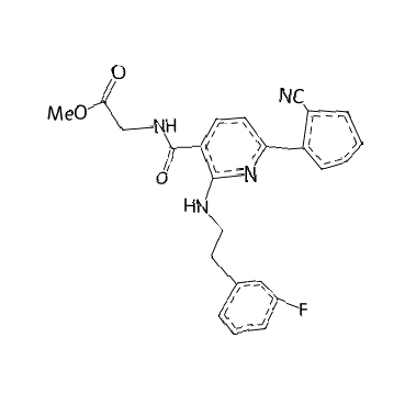 COC(=O)CNC(=O)c1ccc(-c2ccccc2C#N)nc1NCCc1cccc(F)c1